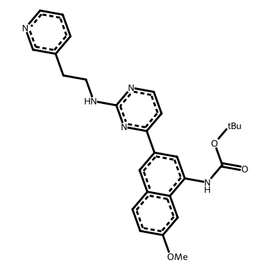 COc1ccc2cc(-c3ccnc(NCCc4cccnc4)n3)cc(NC(=O)OC(C)(C)C)c2c1